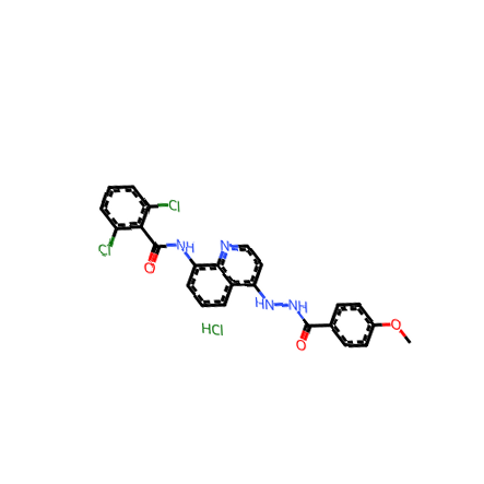 COc1ccc(C(=O)NNc2ccnc3c(NC(=O)c4c(Cl)cccc4Cl)cccc23)cc1.Cl